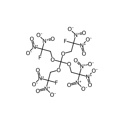 O=[N+]([O-])C(F)(COC(OCC(F)([N+](=O)[O-])[N+](=O)[O-])(OCC(F)([N+](=O)[O-])[N+](=O)[O-])OCC([N+](=O)[O-])([N+](=O)[O-])[N+](=O)[O-])[N+](=O)[O-]